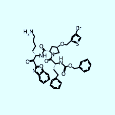 NCCCC[C@H](NC(=O)[C@@H]1C[C@@H](OCc2cc(Br)cs2)CN1C(=O)[C@@H](CCc1ccccc1)NC(=O)OCc1ccccc1)C(=O)c1nc2ccccc2o1